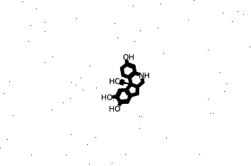 C#C[C@@]12C3=C(C=C(O)CC3)NCC1Cc1cc(O)c(O)cc12